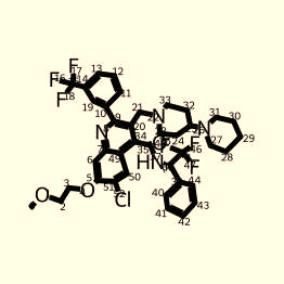 COCCOc1cc2nc(-c3cccc(C(F)(F)F)c3)c(CN3CCC(N4CCCCC4)CC3)c(C(=O)N[C@H](c3ccccc3)C(F)(F)F)c2cc1Cl